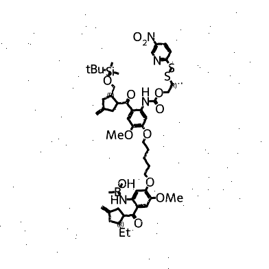 C=C1CC(C(=O)c2cc(OC)c(OCCCCCOc3cc(NC(=O)OC[C@@H](C)SSc4ccc([N+](=O)[O-])cn4)c(C(=O)C4CC(=C)C[C@H]4CO[Si](C)(C)C(C)(C)C)cc3OC)cc2NB(C)O)[C@H](CC)C1